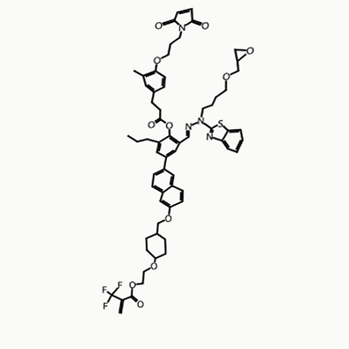 C=C(C(=O)OCCOC1CCC(COc2ccc3cc(-c4cc(/C=N/N(CCCCOCC5CO5)c5nc6ccccc6s5)c(OC(=O)CCc5ccc(OCCCN6C(=O)C=CC6=O)c(C)c5)c(CCC)c4)ccc3c2)CC1)C(F)(F)F